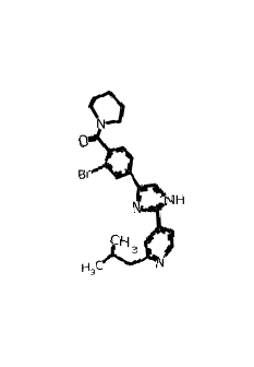 CC(C)Cc1cc(-c2nc(-c3ccc(C(=O)N4CCCCC4)c(Br)c3)c[nH]2)ccn1